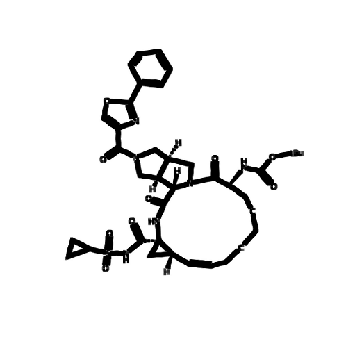 CC(C)(C)OC(=O)N[C@H]1CCCCC/C=C\[C@@H]2C[C@@]2(C(=O)NS(=O)(=O)C2CC2)NC(=O)[C@@H]2[C@H]3CN(C(=O)c4coc(-c5ccccc5)n4)C[C@H]3CN2C1=O